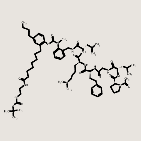 CCCCc1ccc(OC(=O)N(C)c2ccccc2CNC(=O)[C@H](CC(C)C)NC(=O)[C@H](CCCCN(C)C)NC(=O)[C@H](CCc2ccccc2)NC(=O)CNC(=O)[C@H](CC(C)C)NC(=O)[C@@H]2CCCN2C(C)=O)c(CCCCCCCC(=O)NCCNC(=O)OC(C)(C)C)c1